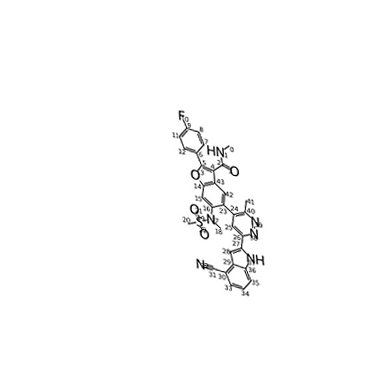 CNC(=O)c1c(-c2ccc(F)cc2)oc2cc(N(C)S(C)(=O)=O)c(-c3cc(-c4cc5c(C#N)cccc5[nH]4)nnc3C)cc12